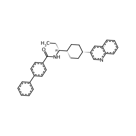 CC[C@@H](NC(=O)c1ccc(-c2ccccc2)cc1)[C@H]1CC[C@@H](c2cnc3ccccc3c2)CC1